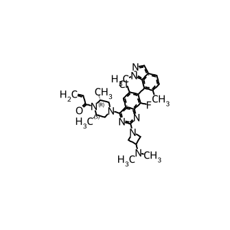 C=CC(=O)N1[C@H](C)CN(c2nc(N3CC(N(C)C)C3)nc3c(F)c(-c4c(C)ccc5cnn(C)c45)c(Cl)cc23)C[C@@H]1C